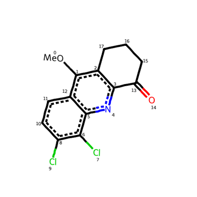 COc1c2c(nc3c(Cl)c(Cl)ccc13)C(=O)CCC2